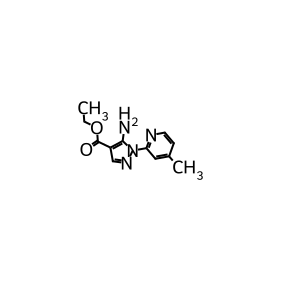 CCOC(=O)c1cnn(-c2cc(C)ccn2)c1N